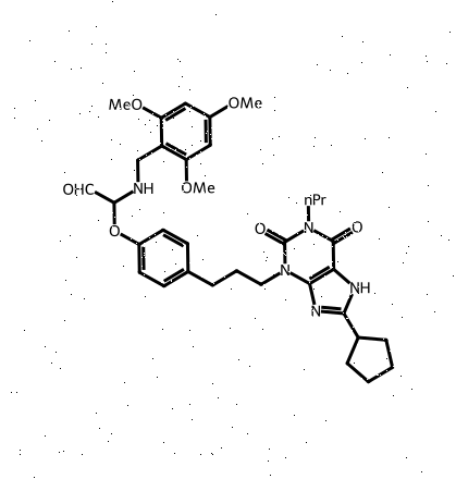 CCCn1c(=O)c2[nH]c(C3CCCC3)nc2n(CCCc2ccc(OC(C=O)NCc3c(OC)cc(OC)cc3OC)cc2)c1=O